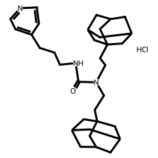 Cl.O=C(NCCCc1ccncc1)N(CCC12CC3CC(CC(C3)C1)C2)CCC12CC3CC(CC(C3)C1)C2